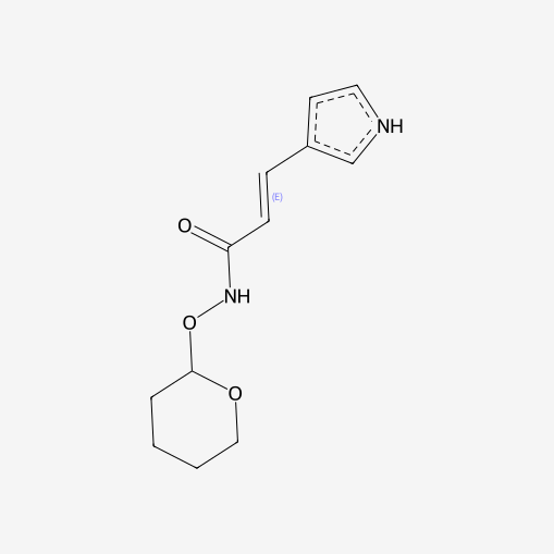 O=C(/C=C/c1cc[nH]c1)NOC1CCCCO1